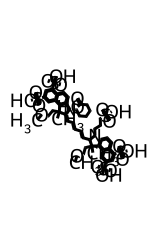 COCCC1(C)C(=CC=CC=CC2N(CCCS(=O)(=O)O)c3ccc4c(S(=O)(=O)O)cc(S(=O)(=O)O)cc4c3C2(C)CCOC)N(CCCCCC(=O)O)c2ccc3c(S(=O)(=O)O)cc(S(=O)(=O)O)cc3c21